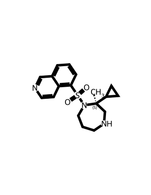 C[C@]1(C2CC2)CNCCCN1S(=O)(=O)c1cccc2cnccc12